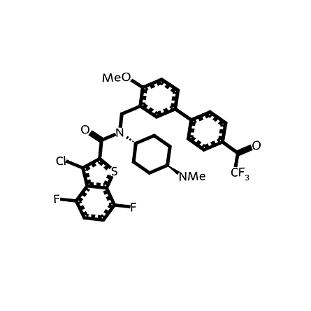 CN[C@H]1CC[C@H](N(Cc2cc(-c3ccc(C(=O)C(F)(F)F)cc3)ccc2OC)C(=O)c2sc3c(F)ccc(F)c3c2Cl)CC1